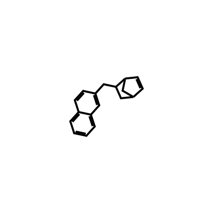 C1=CC2CC1CC2Cc1ccc2ccccc2c1